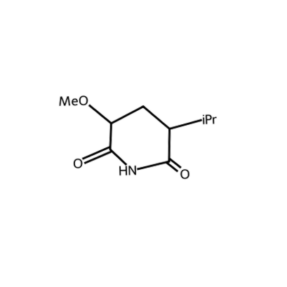 COC1CC(C(C)C)C(=O)NC1=O